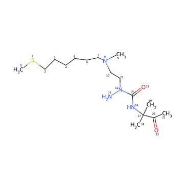 CSCCCCCCN(C)CCN(N)C(=O)NC(C)(C)C(C)=O